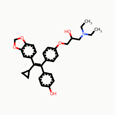 CCN(CC)CC(O)COc1ccc(C(=C(c2ccc3c(c2)OCO3)C2CC2)c2ccc(O)cc2)cc1